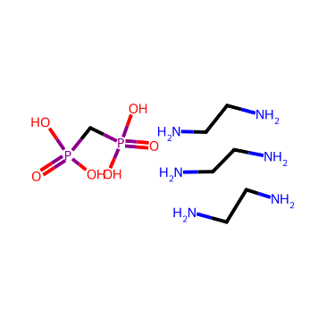 NCCN.NCCN.NCCN.O=P(O)(O)CP(=O)(O)O